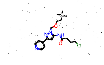 C[Si](C)(C)CCOCn1nc(-c2ccncc2)cc1NC(=O)CCCCl